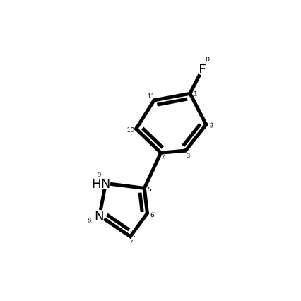 Fc1ccc(-c2c[c]n[nH]2)cc1